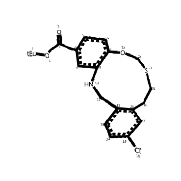 CC(C)(C)OC(=O)c1ccc2c(c1)NCc1ccc(Cl)cc1CCSCO2